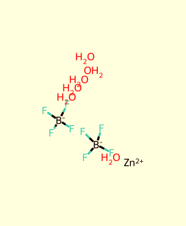 F[B-](F)(F)F.F[B-](F)(F)F.O.O.O.O.O.O.[Zn+2]